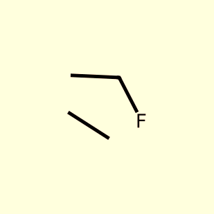 CC.CCF